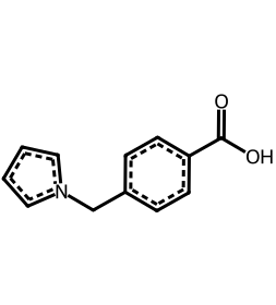 O=C(O)c1ccc(Cn2cccc2)cc1